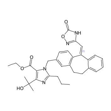 CCCc1nc(C(C)(C)O)c(C(=O)OCC)n1Cc1ccc2c(c1)CCc1ccccc1/C2=C/c1noc(=O)[nH]1